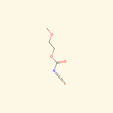 COCCOC(=O)N=C=S